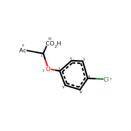 CC(=O)C(Oc1ccc(Cl)cc1)C(=O)O